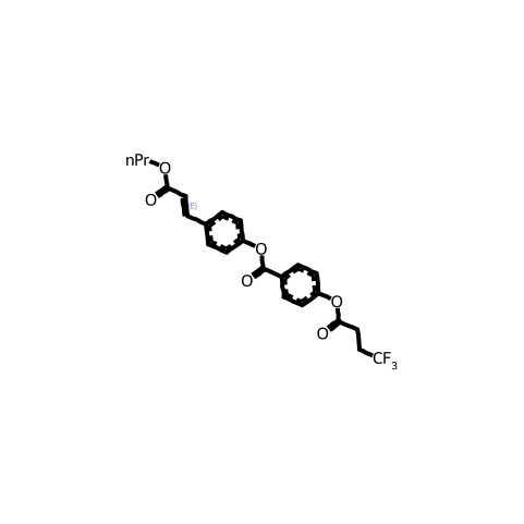 CCCOC(=O)/C=C/c1ccc(OC(=O)c2ccc(OC(=O)CCC(F)(F)F)cc2)cc1